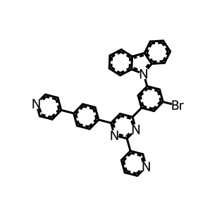 Brc1cc(-c2cc(-c3ccc(-c4ccncc4)cc3)nc(-c3cccnc3)n2)cc(-n2c3ccccc3c3ccccc32)c1